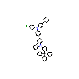 Fc1ccc(N(c2ccc(-c3ccccc3)cc2)c2ccc(-c3ccc4c(c3)c3ccccc3n4-c3ccc4c(c3)C(c3ccccc3)(c3ccccc3)c3ccccc3-4)cc2)cc1